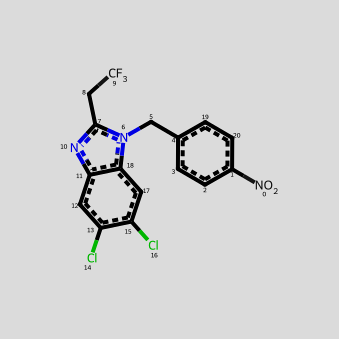 O=[N+]([O-])c1ccc(Cn2c(CC(F)(F)F)nc3cc(Cl)c(Cl)cc32)cc1